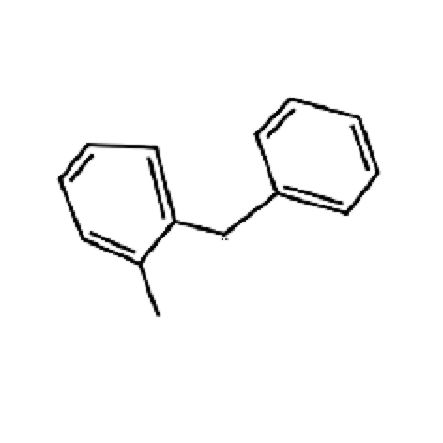 Cc1ccccc1[C]c1ccccc1